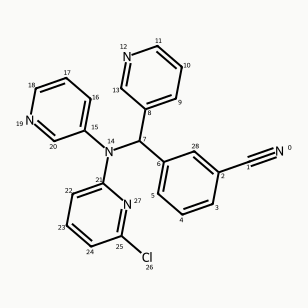 N#Cc1cccc(C(c2cccnc2)N(c2cccnc2)c2cccc(Cl)n2)c1